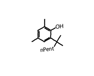 CCCCCC(C)(C)c1cc(C)cc(C)c1O